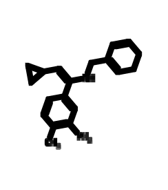 Cc1ccc(/C(=C\C2CC2)NCC2=CCCC=C2)cc1P